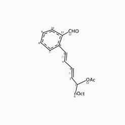 CCCCCCCCC(/C=C/C=C/c1ccccc1C=O)OC(C)=O